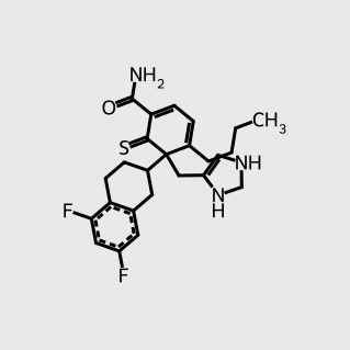 CCCCC1=CC=C(C(N)=O)C(=S)C1(CC1=CNCN1)C1CCc2c(F)cc(F)cc2C1